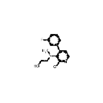 CN(CCO)c1c(-c2cccc(F)c2)ccnc1Cl